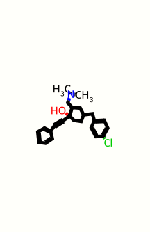 CN(C)CC1CC(Cc2ccc(Cl)cc2)CCC1(O)C#Cc1ccccc1